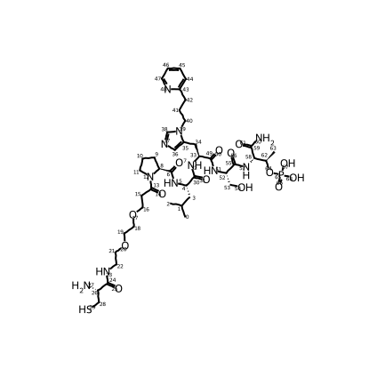 CC(C)C[C@H](NC(=O)[C@@H]1CCCN1C(=O)CCOCCOCCNC(=O)[C@@H](N)CS)C(=O)N[C@@H](Cc1cncn1CCCc1ccccn1)C(=O)N[C@@H](CO)C(=O)N[C@H](C(N)=O)[C@@H](C)OP(=O)(O)O